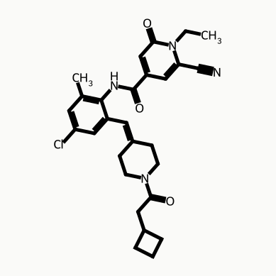 CCn1c(C#N)cc(C(=O)Nc2c(C)cc(Cl)cc2C=C2CCN(C(=O)CC3CCC3)CC2)cc1=O